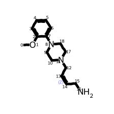 COc1ccccc1N1CCN(C/C=C\CN)CC1